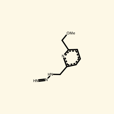 COCc1cccc(CNN=N)n1